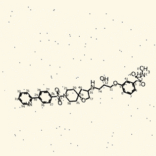 CNS(=O)(=O)c1cccc(OC[C@@H](O)CNC2COC3(CCN(S(=O)(=O)c4ccc(-c5ccccn5)cc4)CC3)C2)c1